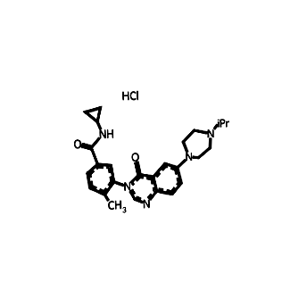 Cc1ccc(C(=O)NC2CC2)cc1-n1cnc2ccc(N3CCN(C(C)C)CC3)cc2c1=O.Cl